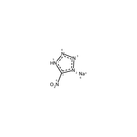 O=[N+]([O-])c1nnn[nH]1.[Na+]